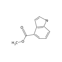 COC(=O)c1cccc2c1C=C[N]2